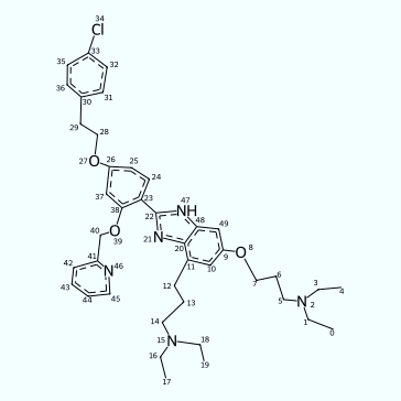 CCN(CC)CCCOc1cc(CCCN(CC)CC)c2nc(-c3ccc(OCCc4ccc(Cl)cc4)cc3OCc3ccccn3)[nH]c2c1